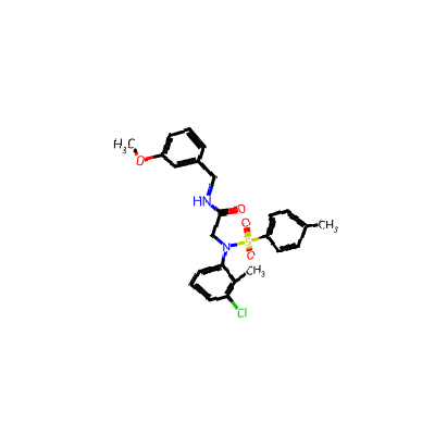 COc1cccc(CNC(=O)CN(c2cccc(Cl)c2C)S(=O)(=O)c2ccc(C)cc2)c1